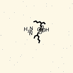 CCCCC(CC)COP(=O)(O)OCC(CC)CCCC.N#CN